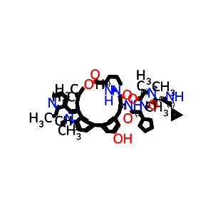 CCn1c(-c2cccnc2C(C)C)c2c3cc(ccc31)-c1cc(O)cc(c1)C[C@H](NC(=O)[C@H](C1CCCC1)N(C)C(=O)[C@@H](C)N(C)C(=O)[C@@H]1N[C@@H]1C1CC1)C(=O)N1CCC[C@H](N1)C(=O)OCC(C)(C)C2